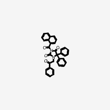 O=C(CN1C(=O)N(C(=O)c2cccc3ccccc23)C(=O)C1(c1ccccc1)c1ccccc1)c1ccccc1